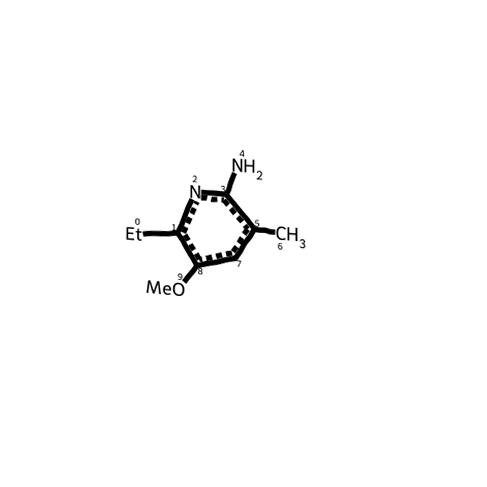 CCc1nc(N)c(C)cc1OC